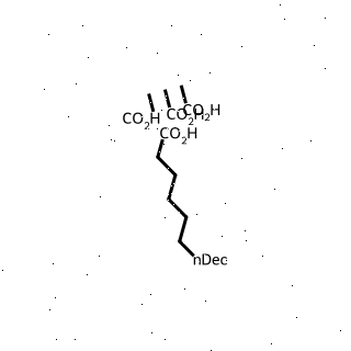 CC(=O)O.CC(=O)O.CC(=O)O.CCCCCCCCCCCCCCCC(=O)O